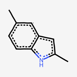 Cc1[c]c2cc(C)[nH]c2cc1